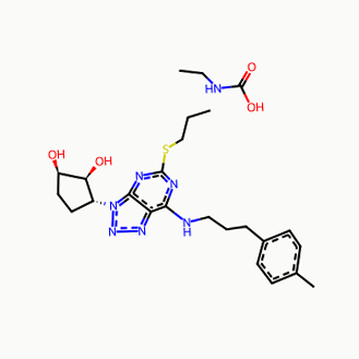 CCCSc1nc(NCCCc2ccc(C)cc2)c2nnn([C@@H]3CC[C@@H](O)[C@H]3O)c2n1.CCNC(=O)O